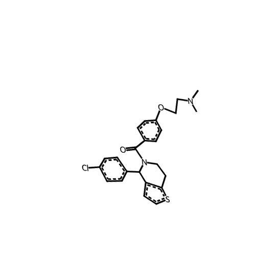 CN(C)CCOc1ccc(C(=O)N2CCc3sccc3C2c2ccc(Cl)cc2)cc1